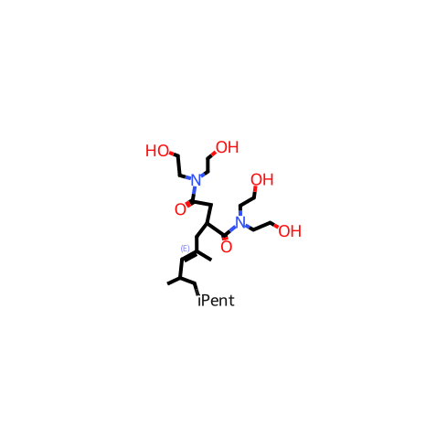 CCCC(C)CC(C)/C=C(\C)CC(CC(=O)N(CCO)CCO)C(=O)N(CCO)CCO